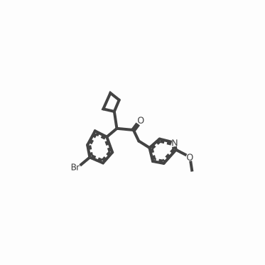 COc1ccc(CC(=O)C(c2ccc(Br)cc2)C2CCC2)cn1